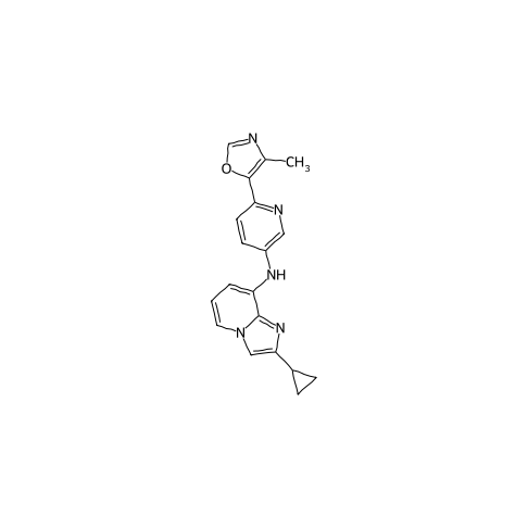 Cc1ncoc1-c1ccc(Nc2cccn3cc(C4CC4)nc23)cn1